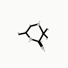 CC1COC(C)(C)C(=O)O1